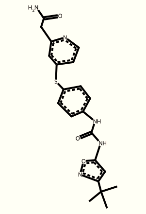 CC(C)(C)c1cc(NC(=O)Nc2ccc(Sc3ccnc(CC(N)=O)c3)cc2)on1